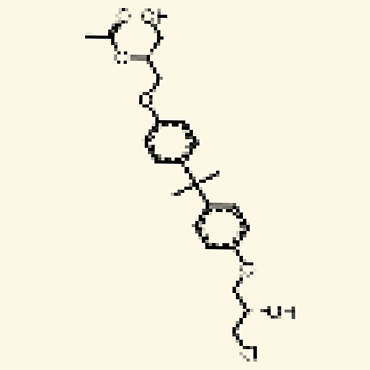 CC(=O)O[C@@H](CO)COc1ccc(C(C)(C)c2ccc(OC[C@H](O)CCl)cc2)cc1